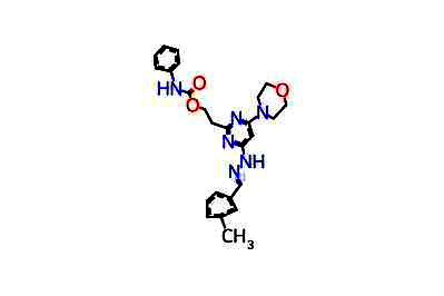 Cc1cccc(/C=N/Nc2cc(N3CCOCC3)nc(CCOC(=O)Nc3ccccc3)n2)c1